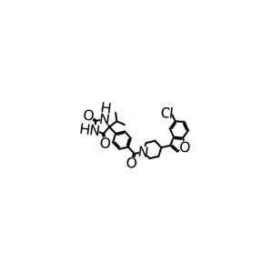 CC(C)C1(c2ccc(C(=O)N3CCC(c4coc5ccc(Cl)cc45)CC3)cc2)NC(=O)NC1=O